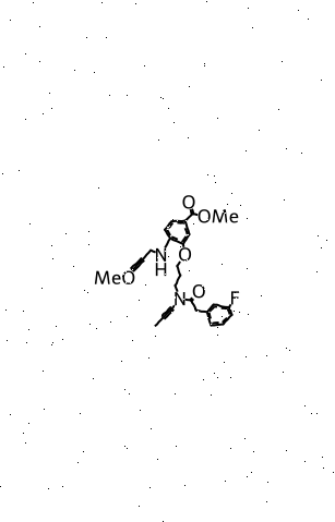 CC#CN(CCCOc1cc(C(=O)OC)ccc1NCC#COC)C(=O)Cc1cccc(F)c1